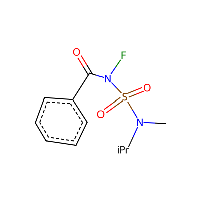 CC(C)N(C)S(=O)(=O)N(F)C(=O)c1ccccc1